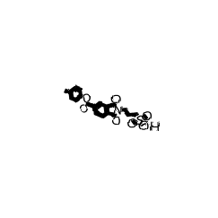 Cc1ccc(OC(=O)c2ccc3c(c2)C(=O)N(CCCS(=O)(=O)O)C3=O)cc1